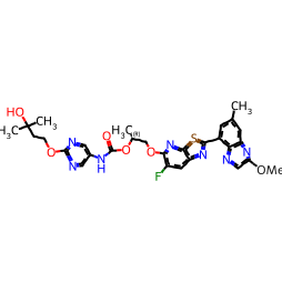 COc1cnc2c(-c3nc4cc(F)c(OC[C@@H](C)OC(=O)Nc5cnc(OCCC(C)(C)O)nc5)nc4s3)cc(C)cc2n1